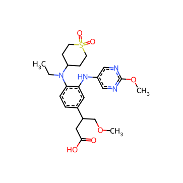 CCN(c1ccc(C(COC)CC(=O)O)cc1Nc1cnc(OC)nc1)C1CCS(=O)(=O)CC1